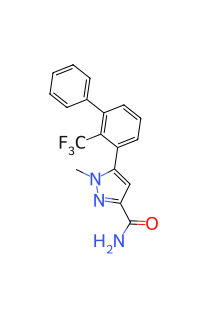 Cn1nc(C(N)=O)cc1-c1cccc(-c2ccccc2)c1C(F)(F)F